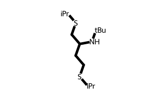 CC(C)SCCC(CSC(C)C)NC(C)(C)C